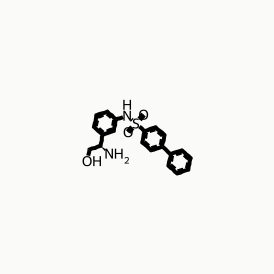 N[C@H](CO)c1cccc(NS(=O)(=O)c2ccc(-c3ccccc3)cc2)c1